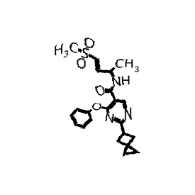 CC(C=CS(C)(=O)=O)NC(=O)c1cnc(C2CC3(CC3)C2)nc1Oc1ccccc1